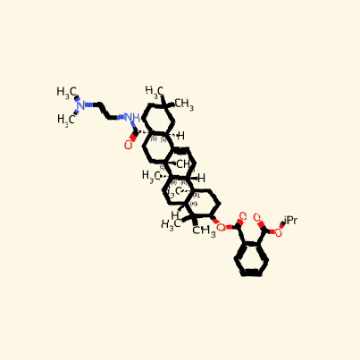 CC(C)OC(=O)c1ccccc1C(=O)OC1CC[C@]2(C)[C@H]3CC=C4[C@@H]5CC(C)(C)CC[C@]5(C(=O)NCCN(C)C)CC[C@@]4(C)[C@]3(C)CC[C@H]2C1(C)C